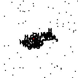 CC(C)(C)OC(=O)Oc1c(CCB2O[C@@H]3C[C@@H]4C[C@@H](C4(C)C)[C@]3(C)O2)ccc(OC2CN(C(=O)Cc3nn[nH]n3)C2)c1C(=O)OC(C)(C)C